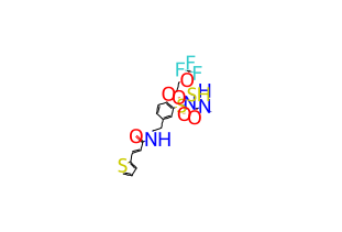 CNC(=O)N(S)S(=O)(=O)c1cc(CCNC(=O)/C=C/c2cccs2)ccc1OCCOC(F)(F)F